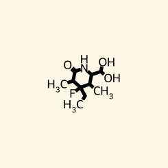 CCC1(F)C(C)C(=O)NC(C(O)O)C1C